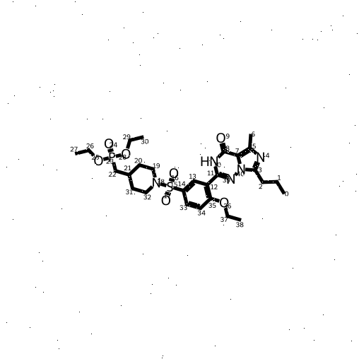 CCCc1nc(C)c2c(=O)[nH]c(-c3cc(S(=O)(=O)N4CCC(CP(=O)(OCC)OCC)CC4)ccc3OCC)nn12